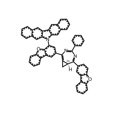 c1ccc(C2=NC(c3cc(-n4c5cc6ccccc6cc5c5cc6ccccc6cc54)c4oc5ccccc5c4c3)=C3C[C@@H]3C(c3ccc4oc5ccccc5c4c3)=N2)cc1